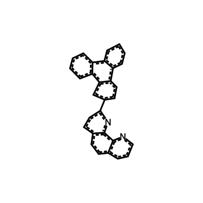 c1cnc2c(c1)ccc1ccc(-c3ccc4c5ccccc5c5ccccc5c4c3)nc12